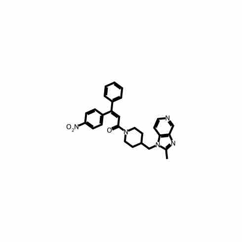 Cc1nc2cnccc2n1CC1CCN(C(=O)C=C(c2ccccc2)c2ccc([N+](=O)[O-])cc2)CC1